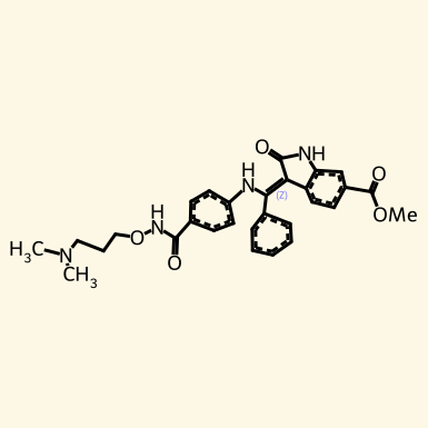 COC(=O)c1ccc2c(c1)NC(=O)/C2=C(\Nc1ccc(C(=O)NOCCCN(C)C)cc1)c1ccccc1